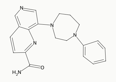 NC(=O)c1ccc2cncc(N3CCCN(c4ccccc4)CC3)c2n1